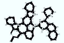 C=C/C=c1/c2cccc3c2c2c(c4oc5ccccc5c4cc2n2c1c(C)c1ccccc12)n3-c1nc(-c2ccccc2)c2ccc3ccccc3c2n1